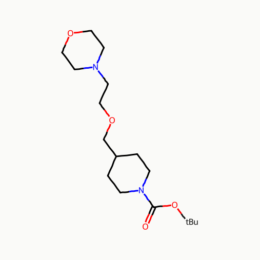 CC(C)(C)OC(=O)N1CCC(COCCN2CCOCC2)CC1